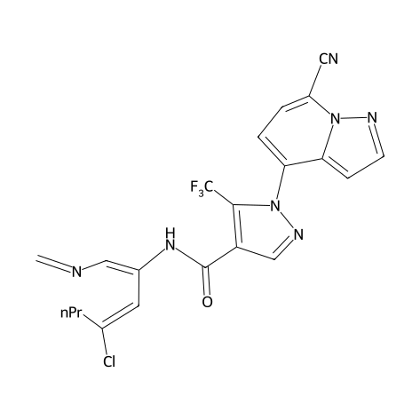 C=N/C=C(\C=C(\Cl)CCC)NC(=O)c1cnn(-c2ccc(C#N)n3nccc23)c1C(F)(F)F